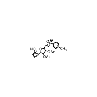 CC(=O)OC1C(COS(=O)(=O)c2ccc(C)cc2)OC(n2cccc2[N+](=O)[O-])C1OC(C)=O